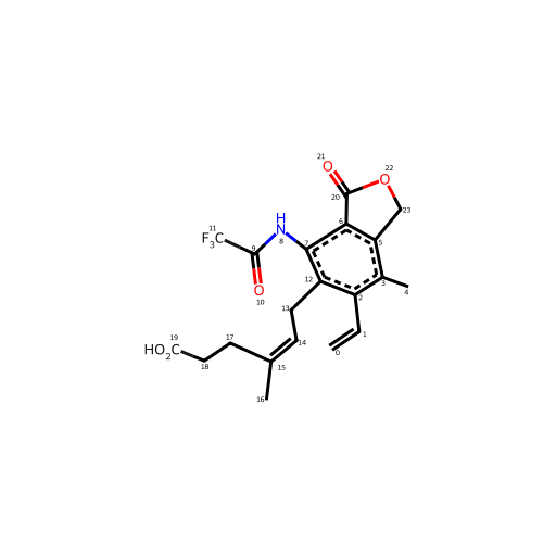 C=Cc1c(C)c2c(c(NC(=O)C(F)(F)F)c1CC=C(C)CCC(=O)O)C(=O)OC2